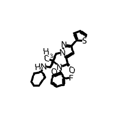 CC1(C(=O)NC2CCCCC2)Cn2nc(-c3cccs3)cc2C(=O)N1c1ccccc1F